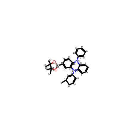 CC1C=C(N2c3ccccc3N(c3ccccc3)c3ccc(B4OC(C)(C)C(C)(C)O4)cc32)C=CC1